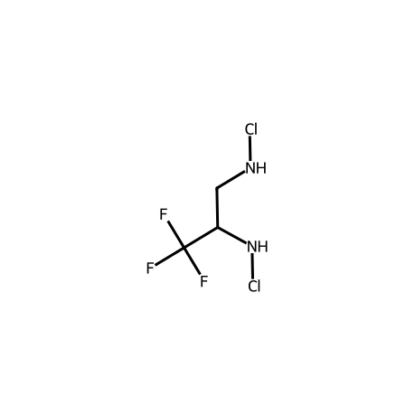 FC(F)(F)C(CNCl)NCl